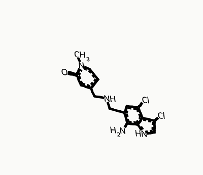 Cn1ccc(CNCc2cc(Cl)c3c(Cl)c[nH]c3c2N)cc1=O